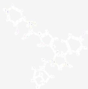 O=C(Nc1ccncc1F)c1ccc(-c2c(-c3ccc(F)cc3)ncn2CC2CC3CC(C3)C2)o1